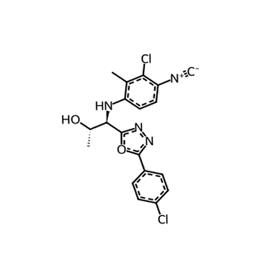 [C-]#[N+]c1ccc(N[C@@H](c2nnc(-c3ccc(Cl)cc3)o2)[C@H](C)O)c(C)c1Cl